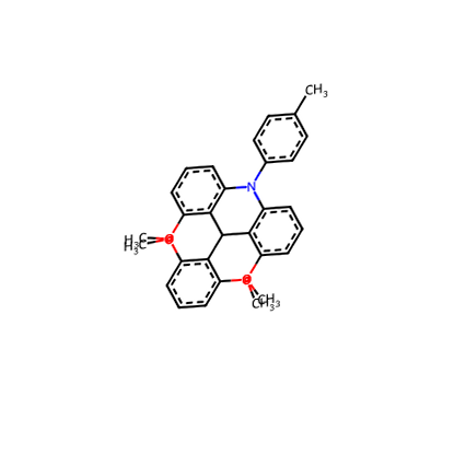 COc1cccc(OC)c1C1c2c(OC)cccc2N(c2ccc(C)cc2)c2cccc(OC)c21